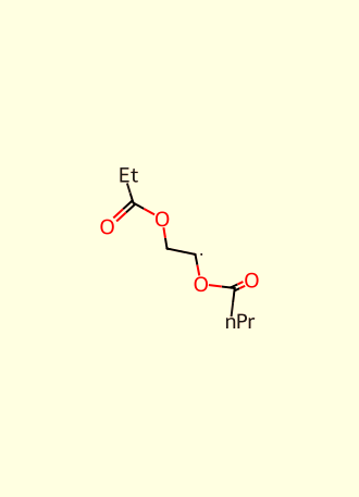 CCCC(=O)O[CH]COC(=O)CC